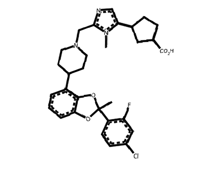 Cn1c(C2CCC(C(=O)O)C2)cnc1CN1CCC(c2cccc3c2OC(C)(c2ccc(Cl)cc2F)O3)CC1